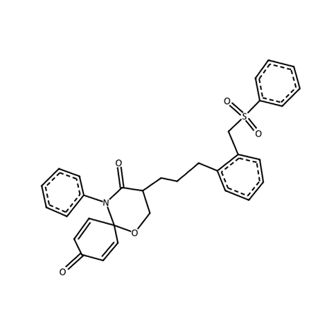 O=C1C=CC2(C=C1)OCC(CCCc1ccccc1CS(=O)(=O)c1ccccc1)C(=O)N2c1ccccc1